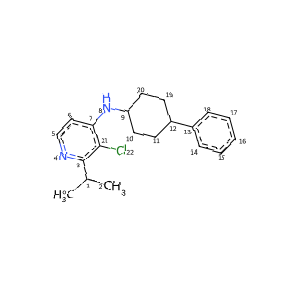 CC(C)c1nccc(NC2CCC(c3ccccc3)CC2)c1Cl